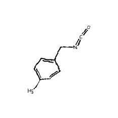 O=C=NCc1ccc(S)cc1